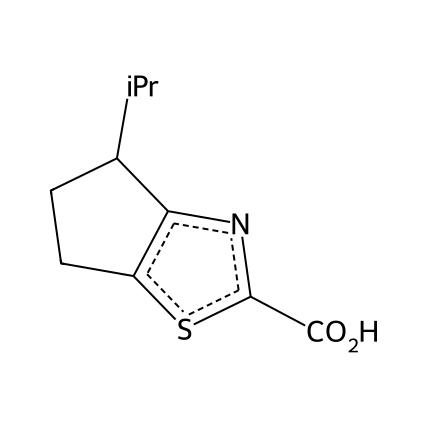 CC(C)C1CCc2sc(C(=O)O)nc21